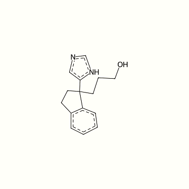 OCCCC1(c2cnc[nH]2)CCc2ccccc21